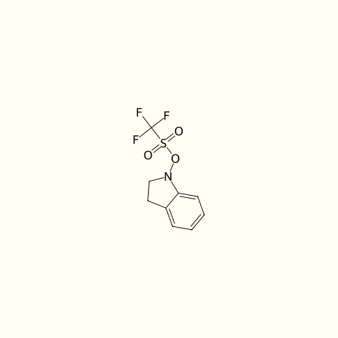 O=S(=O)(ON1CCc2ccccc21)C(F)(F)F